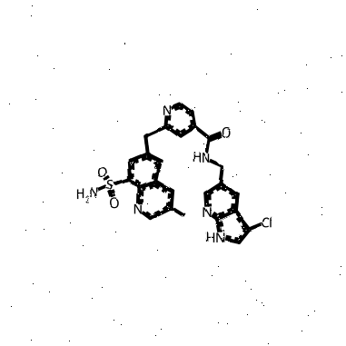 Cc1cnc2c(S(N)(=O)=O)cc(Cc3cc(C(=O)NCc4cnc5[nH]cc(Cl)c5c4)ccn3)cc2c1